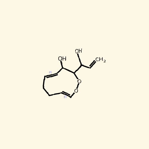 C=CC(O)C1OO/C=C/CC/C=C/C1O